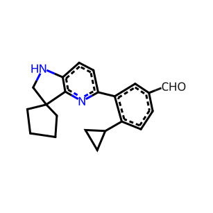 O=Cc1ccc(C2CC2)c(-c2ccc3c(n2)C2(CCCC2)CN3)c1